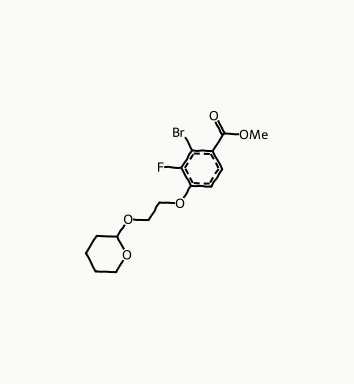 COC(=O)c1ccc(OCCOC2CCCCO2)c(F)c1Br